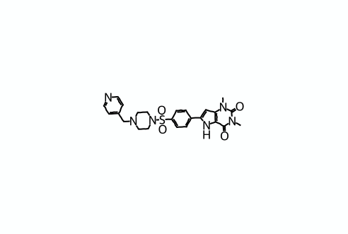 Cn1c(=O)c2[nH]c(-c3ccc(S(=O)(=O)N4CCN(Cc5ccncc5)CC4)cc3)cc2n(C)c1=O